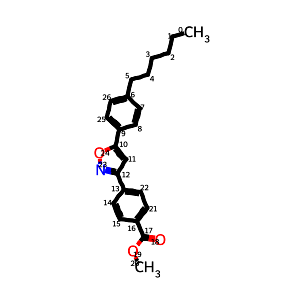 CCCCCCc1ccc(-c2cc(-c3ccc(C(=O)OC)cc3)no2)cc1